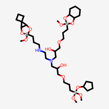 CO[Si](CCCOCC(O)CN(CCNCCC[Si]1(OC)OC2C(O1)C21CCC1)CC(O)COCCC[Si]1(OC)OC2CCCCC2O1)(OC)OC1CCCC1